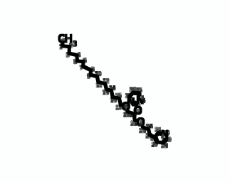 CCCCCCCCCCCCCCCCCCOCC(COCCCc1cccnc1)Oc1ncccn1